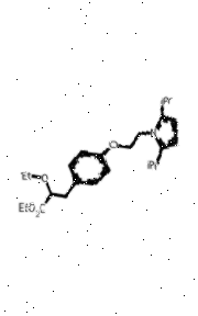 CCOC(=O)C(Cc1ccc(OCCn2c(C(C)C)ccc2C(C)C)cc1)OCC